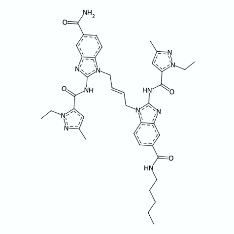 CCCCCNC(=O)c1ccc2c(c1)nc(NC(=O)c1cc(C)nn1CC)n2C/C=C/Cn1c(NC(=O)c2cc(C)nn2CC)nc2cc(C(N)=O)ccc21